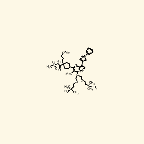 COCCOC1(C(=O)NS(C)(=O)=O)CCC(c2nc3c(-c4cnn(-c5ccccc5)c4)cnn3c(N(COCC[Si](C)(C)C)COCC[Si](C)(C)C)c2SC)CC1